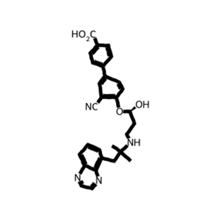 CC(C)(Cc1cccc2nccnc12)NCC[C@H](O)Oc1ccc(-c2ccc(C(=O)O)cc2)cc1C#N